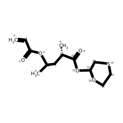 C=CC(=O)OC(C)C[C@H](C)C(=O)OC1CSCCO1